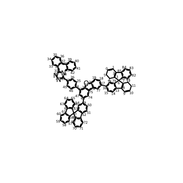 C1=CC2=C(CC1)C1(C3=C(C=CCC3)c3ccc(-c4ccc5oc6c(-c7ccc(-c8nnc9c%10ccccc%10c%10ccccc%10n89)cc7)cc(-c7ccc8c(c7)C7(c9ccccc9-c9ccccc97)c7ccccc7-8)cc6c5c4)cc31)c1ccccc12